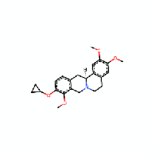 COc1cc2c(cc1OC)[C@@H]1Cc3ccc(OC4CC4)c(OC)c3CN1CC2